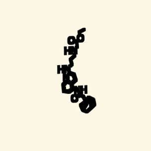 CCOC(=O)CNCCCNc1ccc2c(NC(=O)CC34CC5CC(CC(C5)C3)C4)cccc2n1